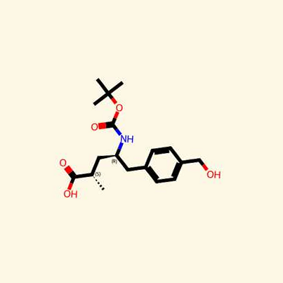 C[C@@H](C[C@H](Cc1ccc(CO)cc1)NC(=O)OC(C)(C)C)C(=O)O